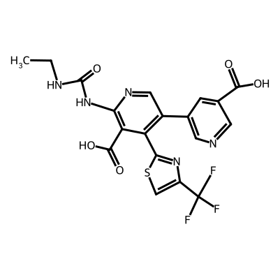 CCNC(=O)Nc1ncc(-c2cncc(C(=O)O)c2)c(-c2nc(C(F)(F)F)cs2)c1C(=O)O